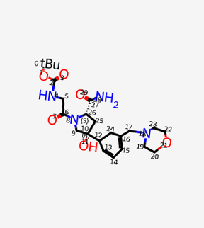 CC(C)(C)OC(=O)NCC(=O)N1C[C@](O)(C2C=CC=C(CN3CCOCC3)C2)C[C@H]1C(N)=O